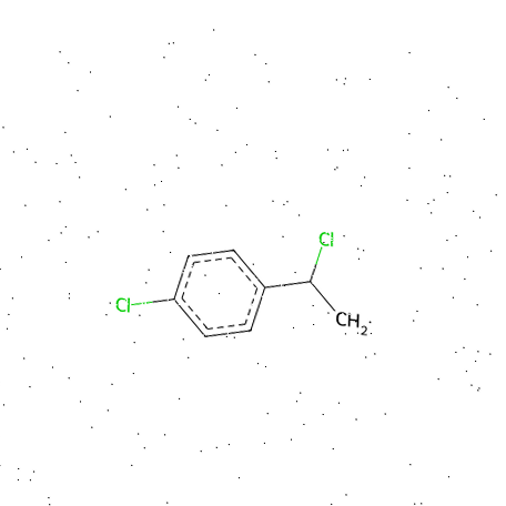 [CH2]C(Cl)c1ccc(Cl)cc1